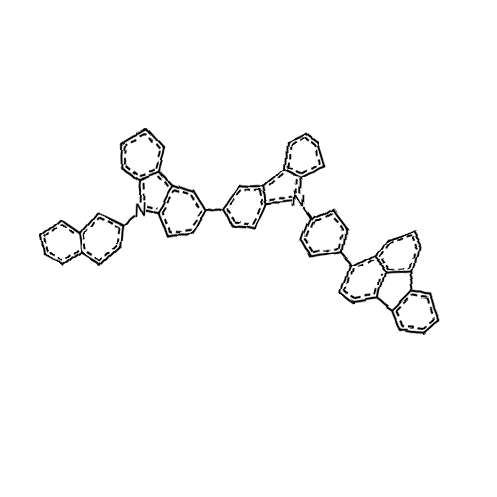 c1ccc2c(c1)-c1cccc3c(-c4ccc(-n5c6ccccc6c6cc(-c7ccc8c(c7)c7ccccc7n8-c7ccc8ccccc8c7)ccc65)cc4)ccc-2c13